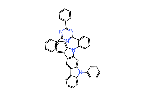 c1ccc(-c2nc(-c3ccccc3)nc(-c3ccccc3-n3c4ccccc4c4cc5c6ccccc6n(-c6ccccc6)c5cc43)n2)cc1